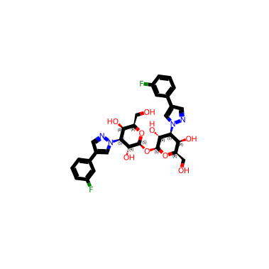 OC[C@H]1O[C@@H](O[C@@H]2O[C@H](CO)[C@H](O)[C@H](n3cc(-c4cccc(F)c4)cn3)[C@H]2O)[C@H](O)[C@@H](n2cc(-c3cccc(F)c3)cn2)[C@H]1O